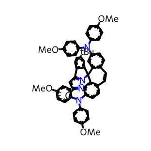 COc1ccc(N(c2ccc(OC)cc2)c2ccc3c(c2)C2(c4cc(N(c5ccc(OC)cc5)c5ccc(OC)cc5)ccc4C=C3)c3cc(C(C)(C)C)ccc3-c3cc(C(F)(F)F)nn32)cc1